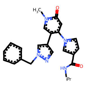 CC(C)NC(=O)c1ccn(-c2cc(=O)n(C)cc2-c2cnn(Cc3ccccc3)c2)c1